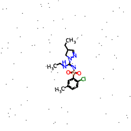 CCN/C(=N\S(=O)(=O)c1cc(C)ccc1Cl)N1CC(CC)C=N1